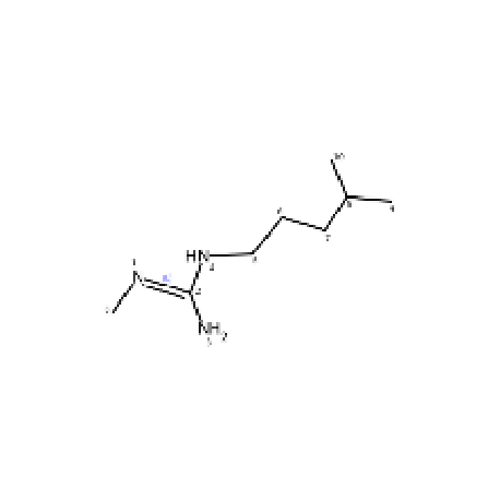 C/N=C(\N)NCCCC(C)C